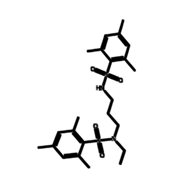 CCN(CCCNS(=O)(=O)c1c(C)cc(C)cc1C)S(=O)(=O)c1c(C)cc(C)cc1C